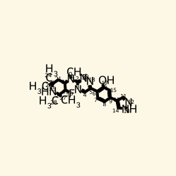 CN(c1ncc(-c2ccc(-c3cn[nH]c3)cc2O)nn1)C1CC(C)(C)NC(C)(C)C1F